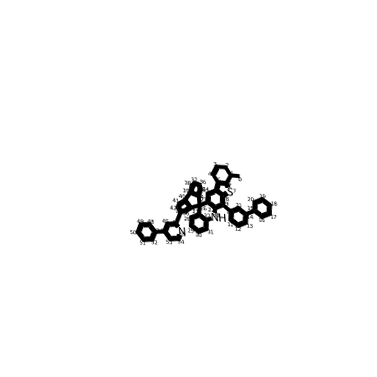 CC1CC=Cc2c1sc1c(-c3cccc(-c4ccccc4)c3)c3c(cc21)C1(c2ccccc2N3)c2ccccc2-c2ccc(-c3cc(-c4ccccc4)ccn3)cc21